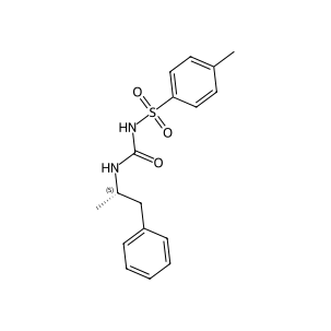 Cc1ccc(S(=O)(=O)NC(=O)N[C@@H](C)Cc2ccccc2)cc1